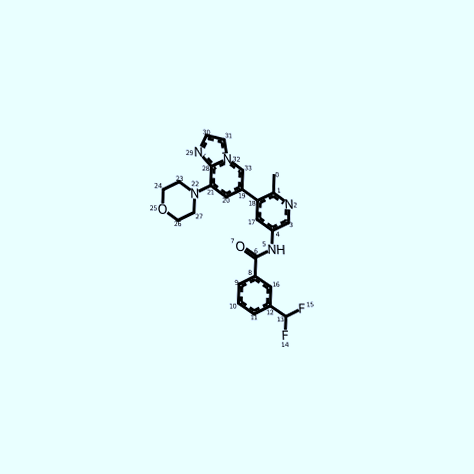 Cc1ncc(NC(=O)c2cccc(C(F)F)c2)cc1-c1cc(N2CCOCC2)c2nccn2c1